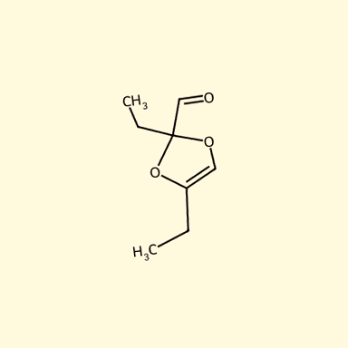 CCC1=COC(C=O)(CC)O1